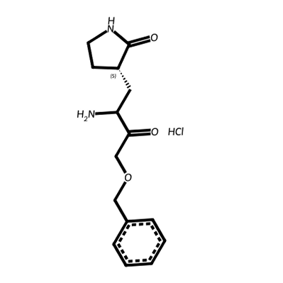 Cl.NC(C[C@@H]1CCNC1=O)C(=O)COCc1ccccc1